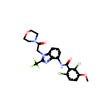 COc1ccc(Cl)c(C(=O)Nc2cccc3c2nc(C(F)(F)F)n3CC(=O)N2CCOCC2)c1Cl